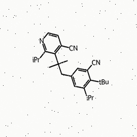 CC(C)c1cc(CC(C)(C)c2c(C#N)ccnc2C(C)C)cc(C#N)c1C(C)(C)C